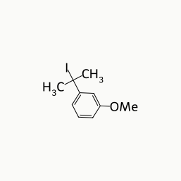 COc1cccc(C(C)(C)I)c1